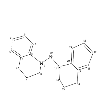 c1ccc2c(c1)CCCN2[N]N1CCCc2ccccc21